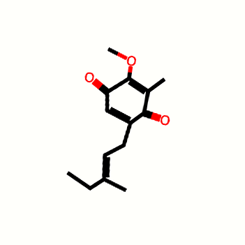 CC/C(C)=C/CC1=CC(=O)C(OC)=C(C)C1=O